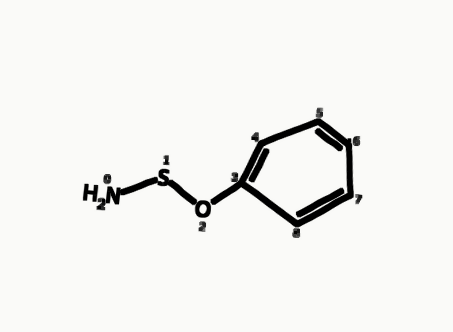 NSOc1cc[c]cc1